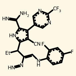 CCC(/C(=C/Nc1ccc(F)cc1F)N=N)c1[nH]c(C(=N)N)c(-c2cnc(C(F)(F)F)nc2)c1C#N